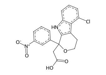 O=C(O)CC1(c2cccc([N+](=O)[O-])c2)OCCc2c1[nH]c1cccc(Cl)c21